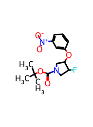 CC(C)(C)OC(=O)N1CC(F)C(Oc2cccc([N+](=O)[O-])c2)C1